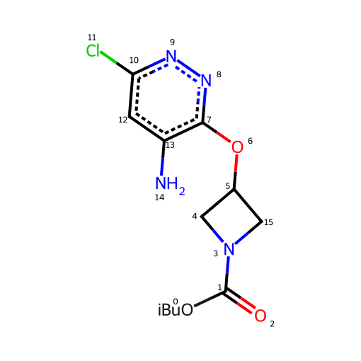 CC(C)COC(=O)N1CC(Oc2nnc(Cl)cc2N)C1